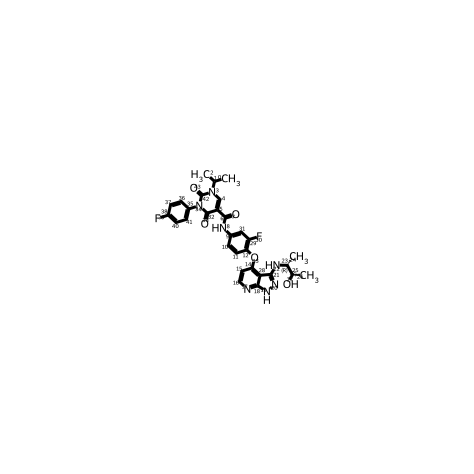 CC(C)n1cc(C(=O)Nc2ccc(Oc3ccnc4[nH]nc(N[C@H](C)[C@@H](C)O)c34)c(F)c2)c(=O)n(-c2ccc(F)cc2)c1=O